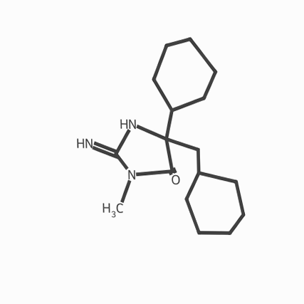 CN1C(=N)NC(CC2CCCCC2)(C2CCCCC2)C1=O